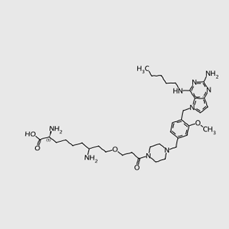 CCCCCNc1nc(N)nc2ccn(Cc3ccc(CN4CCN(C(=O)CCOCCC(N)CCCC[C@H](N)C(=O)O)CC4)cc3OC)c12